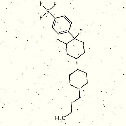 CCCC[C@H]1CC[C@H](C2CCC(F)(c3ccc(S(F)(F)F)cc3)C(F)C2)CC1